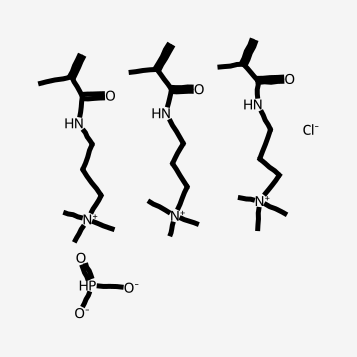 C=C(C)C(=O)NCCC[N+](C)(C)C.C=C(C)C(=O)NCCC[N+](C)(C)C.C=C(C)C(=O)NCCC[N+](C)(C)C.O=[PH]([O-])[O-].[Cl-]